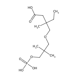 CCC(C)(COCC(C)(C)COP(=O)(O)O)CC(=O)O